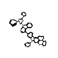 c1ccc(-c2nc(-c3ccccc3)nc(-n3c4ccccc4c4c(-c5ccc6c7c8cccc9c8c(cc7n(-c7ccccc7)c6c5)Sc5ccccc5-9)cccc43)n2)cc1